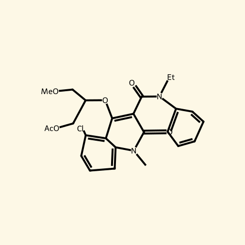 CCN(C(=O)c1c(OC(COC)COC(C)=O)c2c(Cl)cccc2n(C)c1=O)c1ccccc1